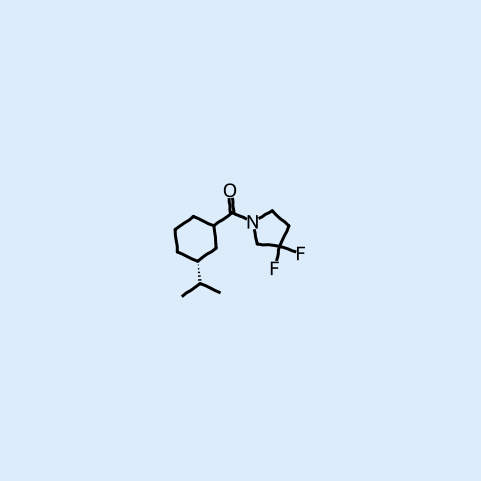 CC(C)[C@@H]1CCCC(C(=O)N2CCC(F)(F)C2)C1